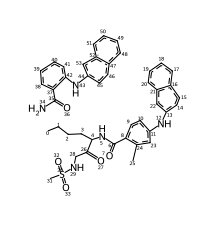 CCCCC(NC(=O)c1ccc(Nc2ccc3ccccc3c2)cc1C)C(=O)CNS(C)(=O)=O.NC(=O)c1ccccc1Nc1ccc2ccccc2c1